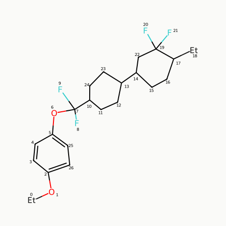 CCOc1ccc(OC(F)(F)C2CCC(C3CCC(CC)C(F)(F)C3)CC2)cc1